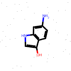 Nc1ccc2c(O)c[nH]c2c1